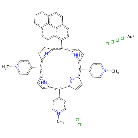 C[n+]1ccc(-c2c3nc(c(-c4cc[n+](C)cc4)c4ccc([nH]4)c(-c4ccc5ccc6cccc7ccc4c5c67)c4nc(c(-c5cc[n+](C)cc5)c5ccc2[nH]5)C=C4)C=C3)cc1.[Au+3].[Cl-].[Cl-].[Cl-].[Cl-].[Cl-].[Cl-]